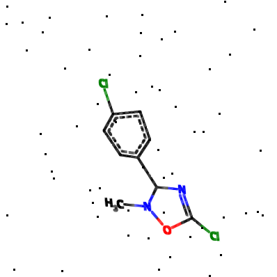 CN1OC(Cl)=NC1c1ccc(Cl)cc1